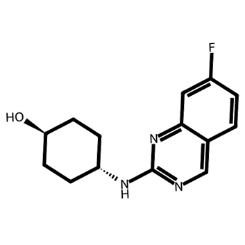 O[C@H]1CC[C@H](Nc2ncc3ccc(F)cc3n2)CC1